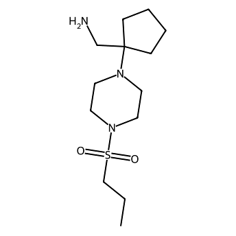 CCCS(=O)(=O)N1CCN(C2(CN)CCCC2)CC1